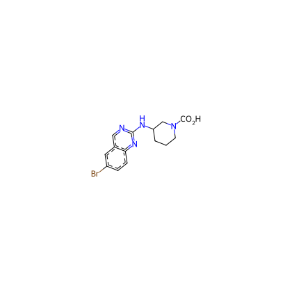 O=C(O)N1CCCC(Nc2ncc3cc(Br)ccc3n2)C1